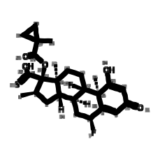 C[C@@H]1C[C@H]2[C@@H]3C[C@H](F)C4=CC(=O)C=C(O)[C@]4(C)[C@@]3(F)CC[C@]2(C)[C@@]1(OC(=O)C1(C)CC1)C(O)=S